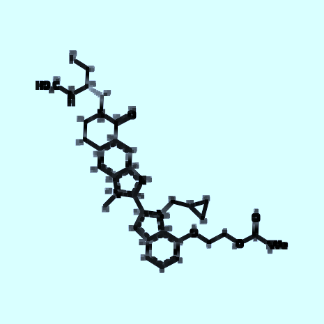 CNC(=O)OCCOc1cccc2cc(-c3nc4cc5c(cc4n3C)CCN(C[C@@H](CF)NC(=O)O)C5=O)n(CC3CC3)c12